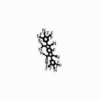 N#CC(C#N)=C1C(c2cc(C(F)(F)F)c(C#N)c(C(F)(F)F)c2)=C(C#N)c2c1cc1c(c2F)C(C#N)=C(c2cc(C(F)(F)F)c(C#N)c(C(F)(F)F)c2)C1=C(C#N)C#N